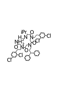 CC(C)C(N)C(=O)N(CCc1ccc(Cl)cc1Cl)CC(=O)N(CCC(c1ccccc1)c1ccccc1)CC(=O)N(CCc1ccc(Cl)cc1Cl)CC(N)=O